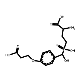 NC(CCP(=O)(O)C(O)c1ccc(OCCC(=O)O)cc1)C(=O)O